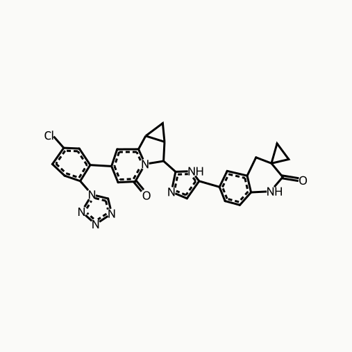 O=C1Nc2ccc(-c3cnc(C4C5CC5c5cc(-c6cc(Cl)ccc6-n6cnnn6)cc(=O)n54)[nH]3)cc2CC12CC2